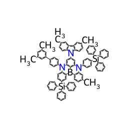 Cc1cc(C)cc(-c2ccc(N3c4ccc([Si](c5ccccc5)(c5ccccc5)c5ccccc5)cc4B4c5ccc(C)cc5N(c5ccc([Si](c6ccccc6)(c6ccccc6)c6ccccc6)cc5)c5cc(-n6c7ccc(C)cc7c7cc(C)ccc76)cc3c54)cc2)c1